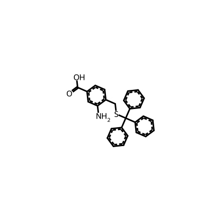 Nc1cc(C(=O)O)ccc1CSC(c1ccccc1)(c1ccccc1)c1ccccc1